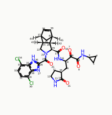 O=C(NC1CC1)C(=O)C(C[C@@H]1CCNC1=O)NC(=O)[C@@H]1[C@@H]2[C@H](CN1C(=O)c1nc3c(Cl)ccc(Cl)c3[nH]1)[C@@H]1C=C[C@H]2C1